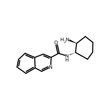 N[C@H]1CCCC[C@@H]1NC(=O)c1cc2ccccc2cn1